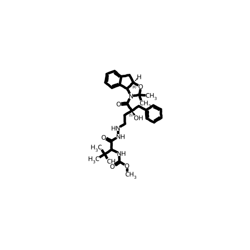 COC(=O)NC(C(=O)NNCC[C@@](O)(Cc1ccccc1)C(=O)N1C2c3ccccc3C[C@H]2OC1(C)C)C(C)(C)C